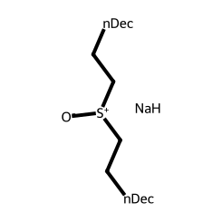 CCCCCCCCCCCC[S+]([O-])CCCCCCCCCCCC.[NaH]